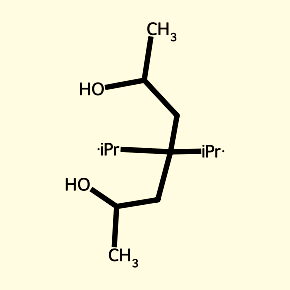 C[C](C)C(CC(C)O)(CC(C)O)[C](C)C